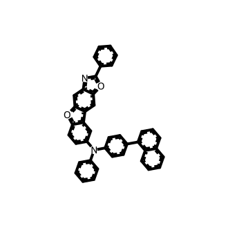 c1ccc(-c2nc3cc4oc5ccc(N(c6ccccc6)c6ccc(-c7cccc8ccccc78)cc6)cc5c4cc3o2)cc1